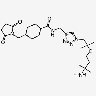 CNC(C)(C)CCOC(C)(C)Cn1cc(CNC(=O)C2CCC(CN3C(=O)CCC3=O)CC2)nn1